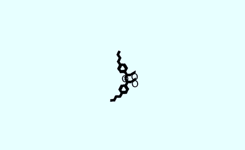 CCCCc1ccc(C(OC(c2ccc(CCCC)cc2)C2CO2)C2CO2)cc1